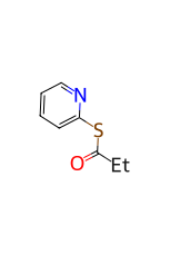 CCC(=O)Sc1ccccn1